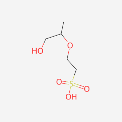 CC(CO)OCCS(=O)(=O)O